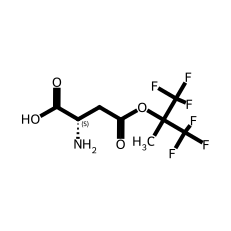 CC(OC(=O)C[C@H](N)C(=O)O)(C(F)(F)F)C(F)(F)F